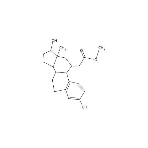 COC(=O)C[C@H]1CC2(C)C(O)CCC2C2CCc3cc(O)ccc3C21